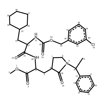 COC(=O)C(CC1CCN(C(C)c2ccccc2)C1=O)NC(=O)C(CC1CCCCC1)NC(=O)OCc1cccc(Cl)c1